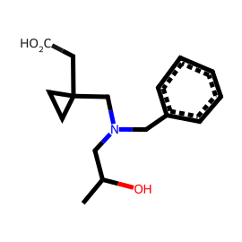 CC(O)CN(Cc1ccccc1)CC1(CC(=O)O)CC1